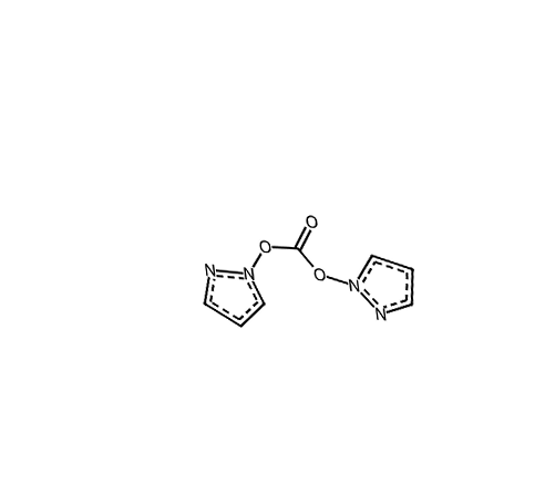 O=C(On1cccn1)On1cccn1